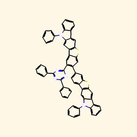 c1ccc(-c2nc(-c3ccccc3)nc(-c3cc4c(cc3-c3ccc5c(c3)sc3cc6c7ccccc7n(-c7ccccc7)c6cc35)sc3cc5c6ccccc6n(-c6ccccc6)c5cc34)n2)cc1